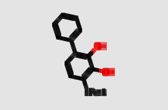 CCCCCc1ccc(-c2ccccc2)c(O)c1O